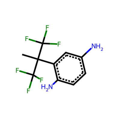 CC(c1cc(N)ccc1N)(C(F)(F)F)C(F)(F)F